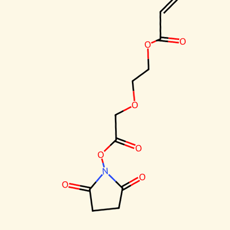 C=CC(=O)OCCOCC(=O)ON1C(=O)CCC1=O